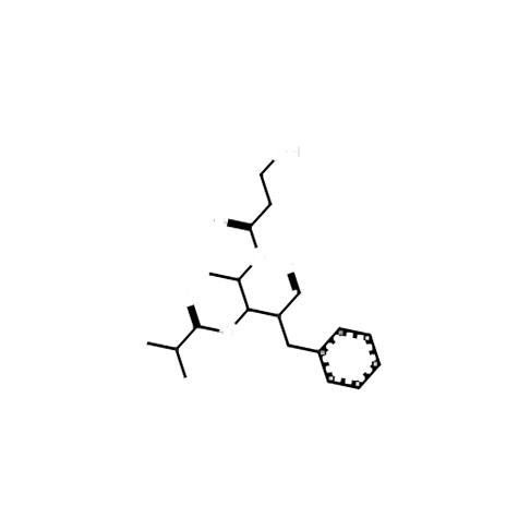 CC(C)C(=O)OC(C(C=O)Cc1ccccc1)C(C)OC(=O)CCO